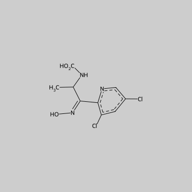 CC(NC(=O)O)C(=NO)c1ncc(Cl)cc1Cl